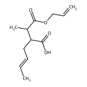 C=CCOC(=O)C(C)C(CC=CC)C(=O)O